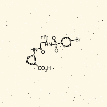 CCCC(CC(=O)Nc1cccc(C(=O)O)c1)NS(=O)(=O)c1ccc(Br)cc1